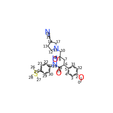 COc1ccc(C(CC(=O)CN2CCC(C#N)C2)C(=O)Nc2ccc(S(C)(C)C)cc2)cc1